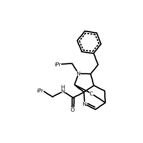 CC(C)CNC(=O)C12N=CC3CC1C(Cc1ccccc1)N(CC(C)C)C2C3